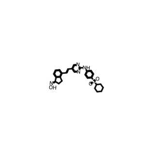 O=S(=O)(c1ccc(Nc2ncc(/C=C/c3cccc4c3CC/C4=N\O)cn2)cc1)C1CCCCC1